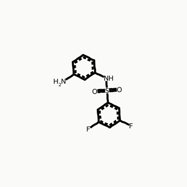 Nc1cccc(NS(=O)(=O)c2cc(F)cc(F)c2)c1